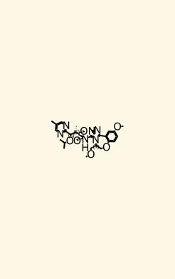 COC[C@@H]1COc2ccc(OC)cc2-c2nnc(NS(=O)(=O)[C@@H](C)[C@@H](OC(C)C)c3ncc(C)cn3)n21